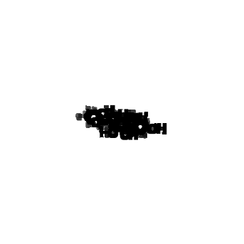 C[C@@H]1CC[C@@]2(OC1)O[C@H]1C[C@H]3[C@@H]4CC[C@H]5C[C@@H](O)CC[C@]5(C)[C@H]4[C@H](O)[C@@H](O)[C@]3(C)[C@H]1[C@@H]2C